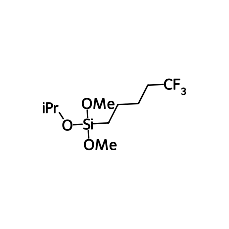 CO[Si](CCCCC(F)(F)F)(OC)OC(C)C